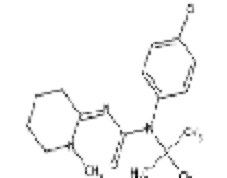 CN1CCCCC1=NC(=O)N(c1ccc(Cl)cc1)C(C)(C)C